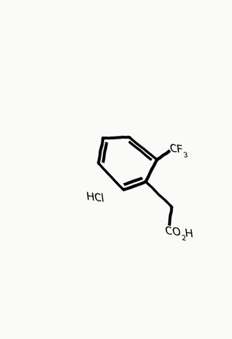 Cl.O=C(O)Cc1ccccc1C(F)(F)F